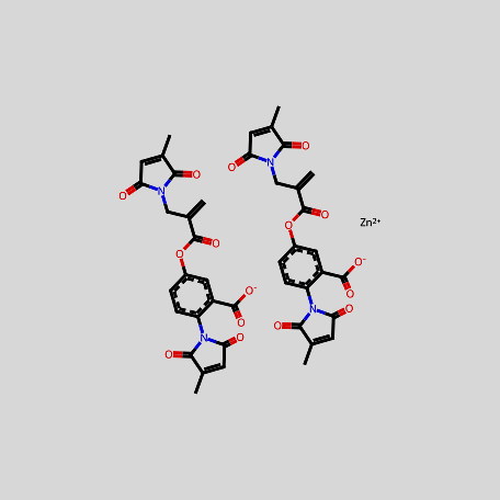 C=C(CN1C(=O)C=C(C)C1=O)C(=O)Oc1ccc(N2C(=O)C=C(C)C2=O)c(C(=O)[O-])c1.C=C(CN1C(=O)C=C(C)C1=O)C(=O)Oc1ccc(N2C(=O)C=C(C)C2=O)c(C(=O)[O-])c1.[Zn+2]